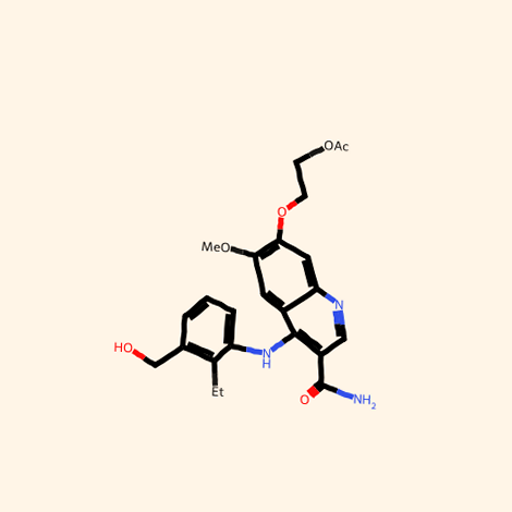 CCc1c(CO)cccc1Nc1c(C(N)=O)cnc2cc(OCCOC(C)=O)c(OC)cc12